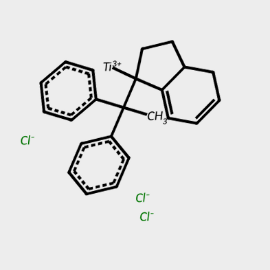 CC(c1ccccc1)(c1ccccc1)[C]1([Ti+3])CCC2CC=CC=C21.[Cl-].[Cl-].[Cl-]